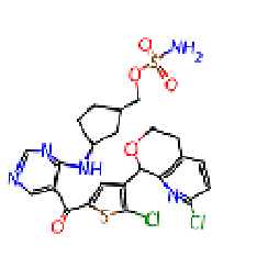 NS(=O)(=O)OC[C@@H]1CC[C@H](Nc2ncncc2C(=O)c2cc(C3OCCc4ccc(Cl)nc43)c(Cl)s2)C1